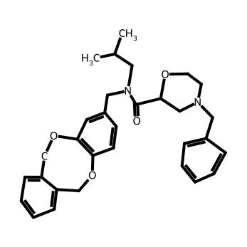 CC(C)CN(Cc1ccc2c(c1)OCc1ccccc1CO2)C(=O)C1CN(Cc2ccccc2)CCO1